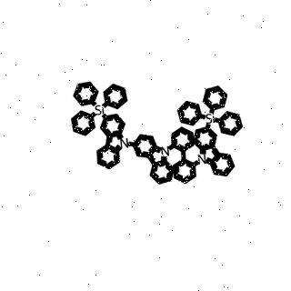 c1ccc([Si](c2ccccc2)(c2ccccc2)c2ccc3c(c2)c2ccccc2n3-c2ccc3c(c2)c2ccccc2n3-c2ccccc2-c2ccccc2-n2c3ccccc3c3cc([Si](c4ccccc4)(c4ccccc4)c4ccccc4)ccc32)cc1